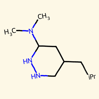 CC(C)CC1CNNC(N(C)C)C1